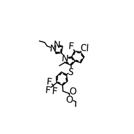 CCCn1cc(-n2c(C)c(Sc3ccc(C(F)(F)F)c(CC(=O)OCC)c3)c3ccc(Cl)c(F)c32)cn1